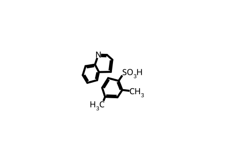 Cc1ccc(S(=O)(=O)O)c(C)c1.c1ccc2ncccc2c1